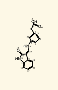 O=C(O)Cc1cccc(N/C=C2\C(=O)Nc3ccccc32)c1